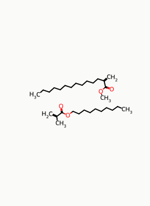 C=C(C)C(=O)OCCCCCCCCCC.C=C(CCCCCCCCCCCC)C(=O)OC